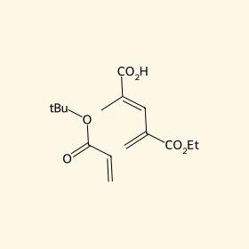 C=C(C=C(C)C(=O)O)C(=O)OCC.C=CC(=O)OC(C)(C)C